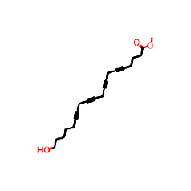 COC(=O)CCCC#CCC#CCC#CCC#CCCCCCO